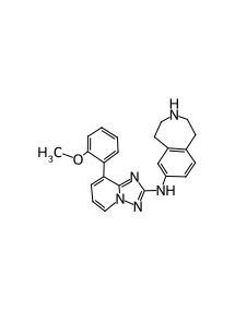 COc1ccccc1-c1cccn2nc(Nc3ccc4c(c3)CCNCC4)nc12